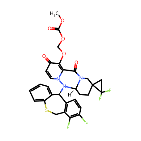 COC(=O)OCOc1c2n(ccc1=O)N([C@@H]1c3ccccc3SCc3c1ccc(F)c3F)[C@@H]1CCC3(CN1C2=O)CC3(F)F